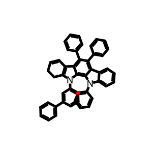 C1=Cc2c(n(-c3cccc(-c4ccccc4)c3)c3c2c(-c2ccccc2)c(-c2ccccc2)c2c4ccccc4n(-c4ccccc4)c23)CC1